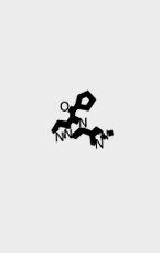 Cn1cc(-c2cn3nccc3c(C(=O)C3CCCC3)n2)cn1